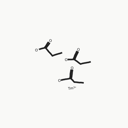 CCC(=O)[O-].CCC(=O)[O-].CCC(=O)[O-].[Tm+3]